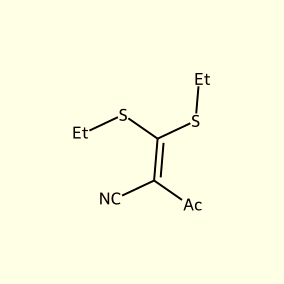 CCSC(SCC)=C(C#N)C(C)=O